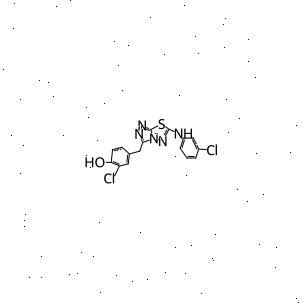 Oc1ccc(Cc2nnc3sc(Nc4cccc(Cl)c4)nn23)cc1Cl